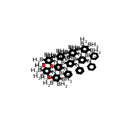 Bc1c(B)c(B)c(N(c2cc3c4c(c2)N(c2c(B)c(B)c(B)c(B)c2B)c2c(B)c(B)c(B)c(B)c2B4c2cc4c(cc2N3c2ccccc2)N(c2ccccc2)c2cc(N(C3CCCCC3)C3CCCCC3)cc3c2B4c2c(B)c(B)c(B)c(B)c2N3c2c(B)c(B)c(B)c(B)c2B)c2c(B)c(B)c(B)c(B)c2B)c(B)c1B